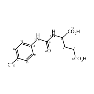 O=C(O)CCC(NC(=O)Nc1ccc(Cl)cc1)C(=O)O